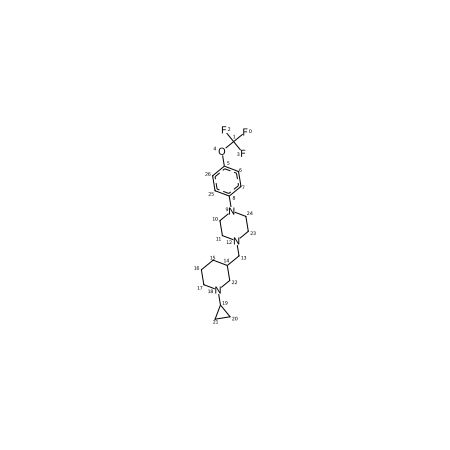 FC(F)(F)Oc1ccc(N2CCN(CC3CCCN(C4CC4)C3)CC2)cc1